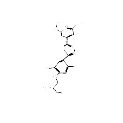 Cc1cc(-c2nnc(-c3cc(F)c(OC[C@@H](N)[C@@H](C)O)cc3Cl)s2)cc(NC(C)C)n1